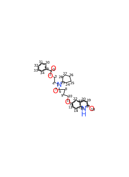 O=C(OCCN(C(=O)CCCOc1ccc2[nH]c(=O)ccc2c1)C1CCCCC1)c1ccccc1